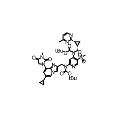 Cc1ccnc([C@H]2C[C@@H]2C(=O)N(C(=O)OC(C)(C)C)c2cc(N(Cc3cn4cc(C5CC5)cc(N5CC(=O)N(C)C5=O)c4n3)C(=O)OC(C)(C)C)ncc2S(C)(=O)=O)n1